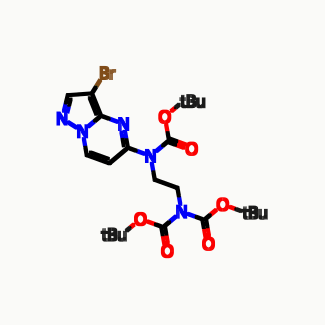 CC(C)(C)OC(=O)N(CCN(C(=O)OC(C)(C)C)c1ccn2ncc(Br)c2n1)C(=O)OC(C)(C)C